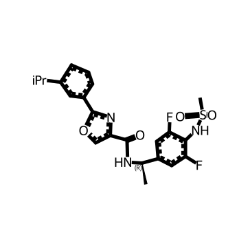 CC(C)c1cccc(-c2nc(C(=O)N[C@H](C)c3cc(F)c(NS(C)(=O)=O)c(F)c3)co2)c1